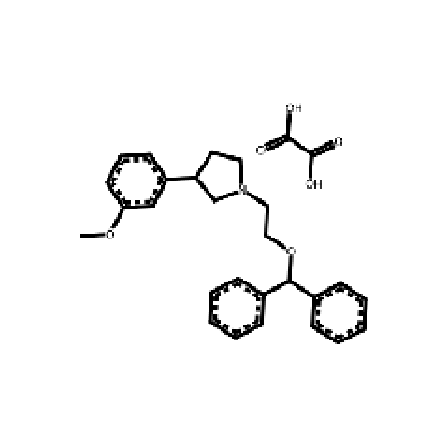 COc1cccc(C2CCN(CCOC(c3ccccc3)c3ccccc3)C2)c1.O=C(O)C(=O)O